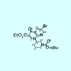 CCOC(=O)c1cn([C@@H]2CCCN(C(=O)OC(C)(C)C)C2)c2ncc(Br)cc2c1=O